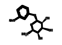 CNc1cccc(O[C@@H]2O[C@H](C(=O)O)[C@@H](O)[C@H](O)[C@H]2O)c1